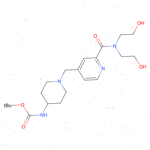 CC(C)(C)OC(=O)NC1CCN(Cc2ccnc(C(=O)N(CCO)CCO)c2)CC1